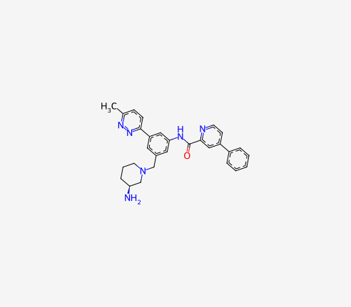 Cc1ccc(-c2cc(CN3CCC[C@H](N)C3)cc(NC(=O)c3cc(-c4ccccc4)ccn3)c2)nn1